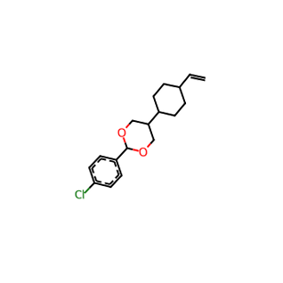 C=CC1CCC(C2COC(c3ccc(Cl)cc3)OC2)CC1